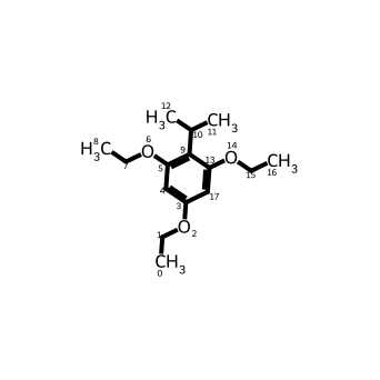 CCOc1cc(OCC)c(C(C)C)c(OCC)c1